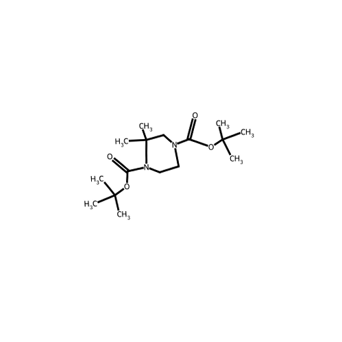 CC(C)(C)OC(=O)N1CCN(C(=O)OC(C)(C)C)C(C)(C)C1